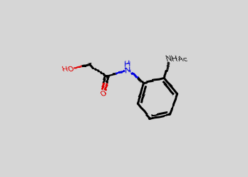 CC(=O)Nc1ccccc1NC(=O)CO